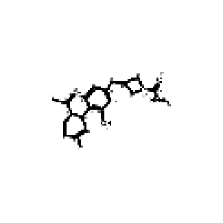 C=C(C)C1CCC(C)=CC1c1c(O)cc(CC2CN(C(=O)NC)C2)cc1O